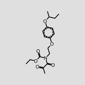 CCOC(=O)N(CCOc1ccc(OC(C)CC)cc1)C(=O)C(C)=O